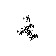 O=C1CN(CCCCCS(=O)(=O)N[C@H](CC#[N+]c2cc3c(c(OCC4CC4)c2F)CCC[C@H]3NS(=O)(=O)CCCCCN2CC(=O)NC2=O)c2cc(OCC3CC3)[nH]c(=O)c2)C(=O)N1